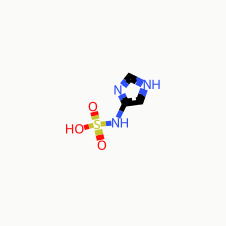 O=S(=O)(O)Nc1c[nH]cn1